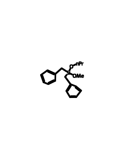 CCCO[Si](Cc1ccccc1)(Cc1ccccc1)OC